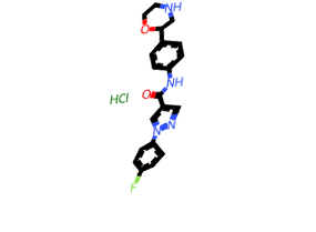 Cl.O=C(Nc1ccc(C2CNCCO2)cc1)c1cnn(-c2ccc(F)cc2)c1